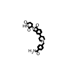 NC(=O)c1ccc(CN2CCC(c3ccc4c(c3)CN(C3CCC(=O)NC3=O)C4=O)CC2)cc1